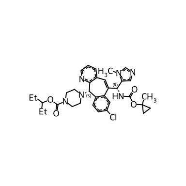 CCC(CC)OC(=O)N1CCN([C@H]2c3ccc(Cl)cc3C([C@@H](NC(=O)OC3(C)CC3)c3cncn3C)=Cc3cccnc32)CC1